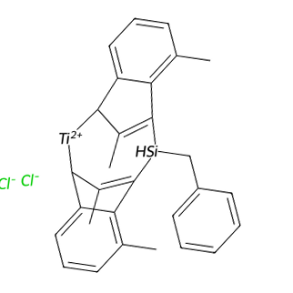 CC1=C2c3c(C)cccc3[CH]1[Ti+2][CH]1C(C)=C(c3c(C)cccc31)[SiH]2Cc1ccccc1.[Cl-].[Cl-]